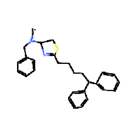 CCN(Cc1ccccc1)C1CSC(CCCCC(c2ccccc2)c2ccccc2)=N1